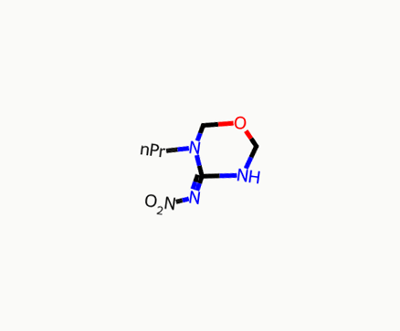 CCCN1COCN/C1=N/[N+](=O)[O-]